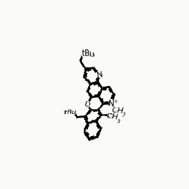 Cc1c2c(c(CC(C)(C)C)c3ccccc13)Oc1cc3cc(CC(C)(C)C)cnc3c3cc[n+](C)c-2c13